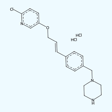 Cl.Cl.Clc1ccc(OC/C=C/c2ccc(CN3CCNCC3)cc2)cn1